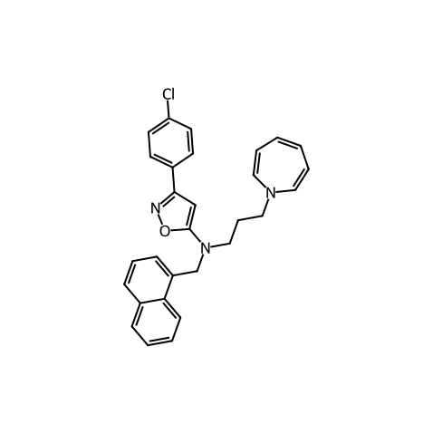 Clc1ccc(-c2cc(N(CCCN3C=CC=CC=C3)Cc3cccc4ccccc34)on2)cc1